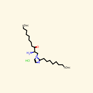 CCCCCCCCCCCCCCCCCC(=O)C(N)Cn1ccnc1CCCCCCCCCCCCCCCCC.Cl